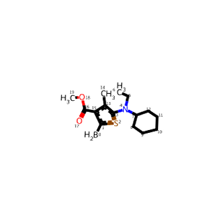 Bc1sc(N(CC)C2CCCCC2)c(C)c1C(=O)OC